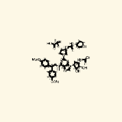 CCC(=O)N[C@H]1C[C@@H](n2cnc3c(NCC(c4ccc(OC)cc4)c4ccc(OC)cc4)nc(N4CC[C@@H](NC(=O)N[C@@H]5CCNC5)C4)nc32)[C@H](O)[C@@H]1O.O=C(O)C(F)(F)F